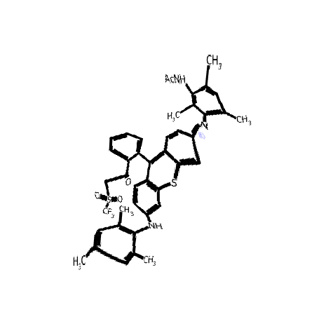 CC(=O)Nc1c(C)cc(C)c(/N=c2\ccc3c(-c4ccccc4C(=O)CS(=O)(=O)C(F)(F)F)c4ccc(Nc5c(C)cc(C)cc5C)cc4sc-3c2)c1C